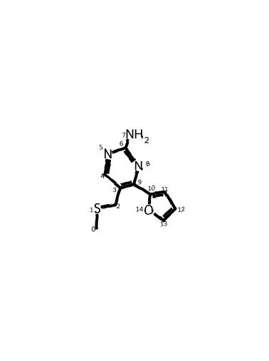 CSCc1cnc(N)nc1-c1ccco1